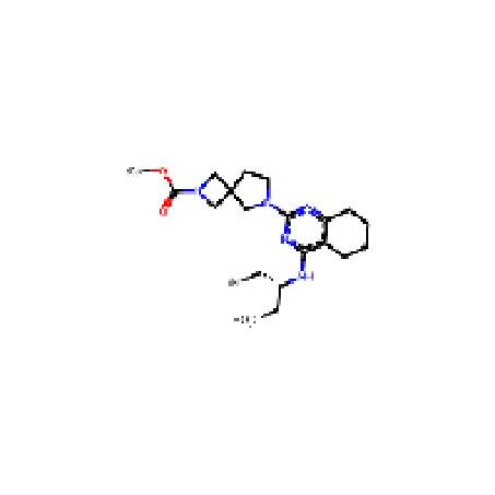 CC(C)C[C@@H](CC(=O)O)Nc1nc(N2CCC3(CN(C(=O)OC(C)(C)C)C3)C2)nc2c1CCCC2